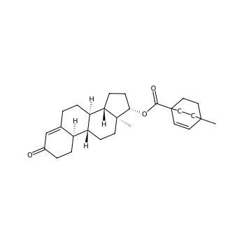 CC12C=CC(C(=O)O[C@H]3CC[C@H]4[C@@H]5CCC6=CC(=O)CC[C@@H]6[C@H]5CC[C@]34C)(CC1)CC2